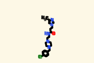 Cc1cn(CCC(=O)NCCN2CCN(Cc3ccc(Cl)cc3)CC2)cn1